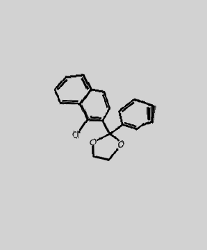 Clc1c(C2(c3ccccc3)OCCO2)ccc2ccccc12